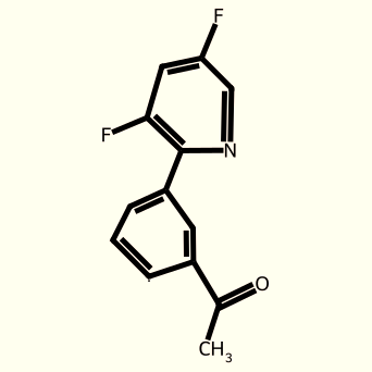 CC(=O)c1[c]ccc(-c2ncc(F)cc2F)c1